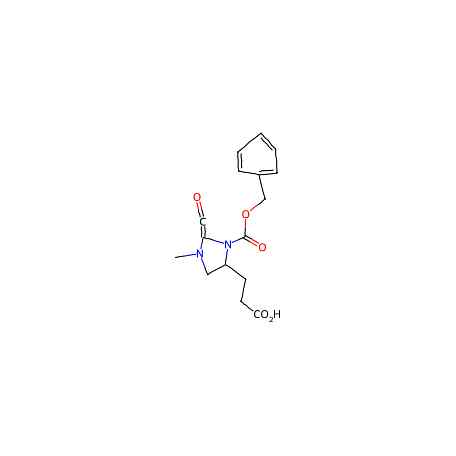 CN1CC(CCC(=O)O)N(C(=O)OCc2ccccc2)C1=C=O